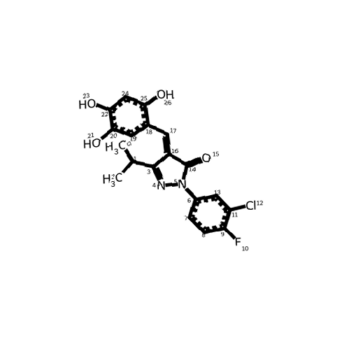 CC(C)C1=NN(c2ccc(F)c(Cl)c2)C(=O)/C1=C/c1cc(O)c(O)cc1O